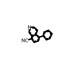 N#Cc1ccc(-c2ccccc2)c2ccncc12